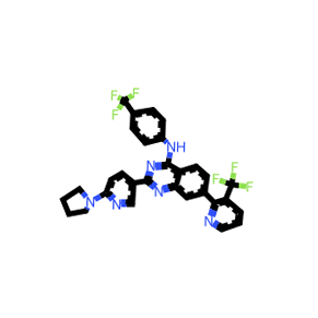 FC(F)(F)c1ccc(Nc2nc(-c3ccc(N4CCCC4)nc3)nc3cc(-c4ncccc4C(F)(F)F)ccc23)cc1